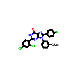 COc1cccc(-n2c(-c3ccc(Cl)cc3)nc3c(=O)[nH]c(-c4ccc(Cl)cc4Cl)nc32)c1